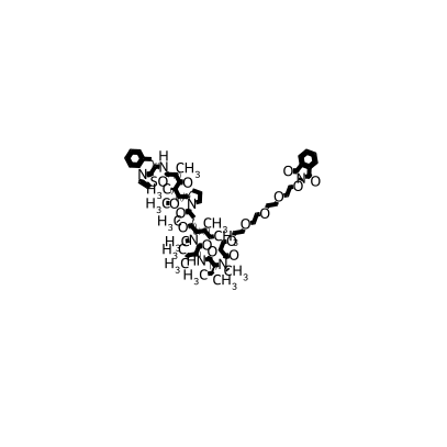 CC[C@H](C)[C@@H]([C@@H](CC(=O)N1CCC[C@H]1[C@H](OC)[C@@H](C)C(=O)[C@@H](C)C(=O)N[C@@H](Cc1ccccc1)c1nccs1)OC)N(C)C(=O)[C@@H](NC(=O)[C@H](C(C)C)N(C)C(=O)CCOCCOCCOCCOCCON1C(=O)c2ccccc2C1=O)C(C)C